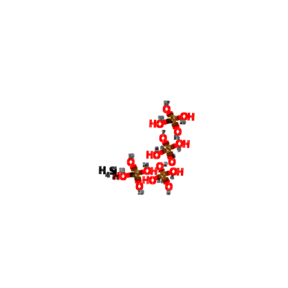 O=S(=O)(O)O.O=S(=O)(O)O.O=S(=O)(O)O.O=S(=O)(O)O.[SiH4]